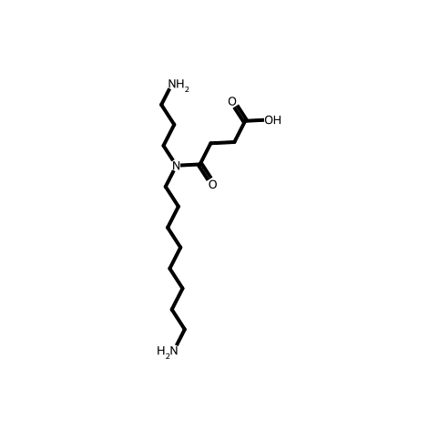 NCCCCCCCCN(CCCN)C(=O)CCC(=O)O